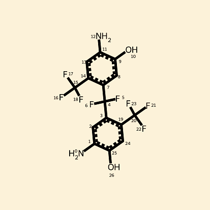 Nc1cc(C(F)(F)c2cc(O)c(N)cc2C(F)(F)F)c(C(F)(F)F)cc1O